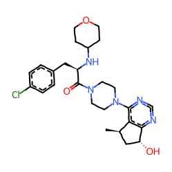 C[C@@H]1C[C@@H](O)c2ncnc(N3CCN(C(=O)[C@@H](Cc4ccc(Cl)cc4)NC4CCOCC4)CC3)c21